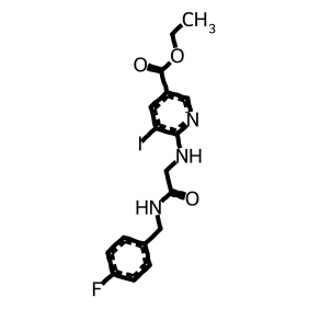 CCOC(=O)c1cnc(NCC(=O)NCc2ccc(F)cc2)c(I)c1